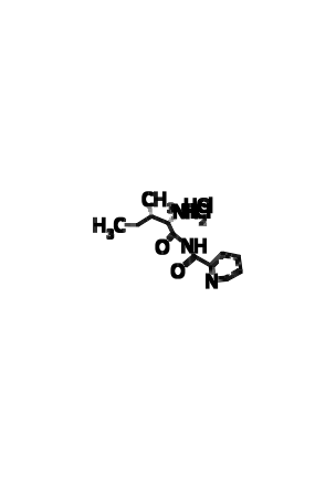 CC[C@H](C)[C@H](N)C(=O)NC(=O)c1ccccn1.Cl.Cl